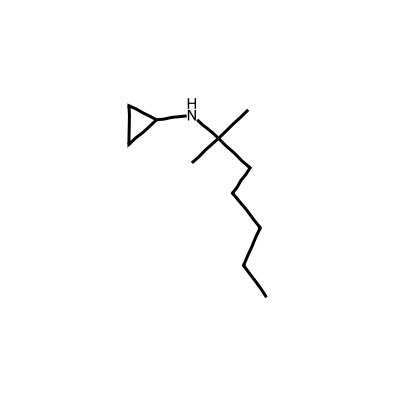 CCCCCC(C)(C)NC1CC1